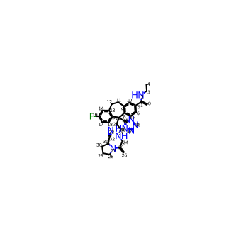 C=C(NCC)c1ccc2c(c1)CCc1cc(F)ccc1C2(CCNCC(=C)N1CCCC1C#N)c1nnn[nH]1